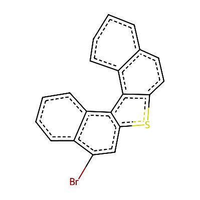 Brc1cc2sc3ccc4ccccc4c3c2c2ccccc12